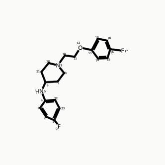 Fc1ccc(NC2CCN(CCOc3ccc(F)cc3)CC2)cc1